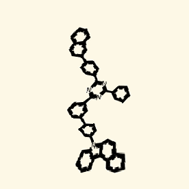 c1ccc(-c2nc(-c3ccc(-c4ccc5ccccc5c4)cc3)nc(-c3cccc(-c4ccc(-n5c6ccccc6c6c7ccccc7ccc65)cc4)c3)n2)cc1